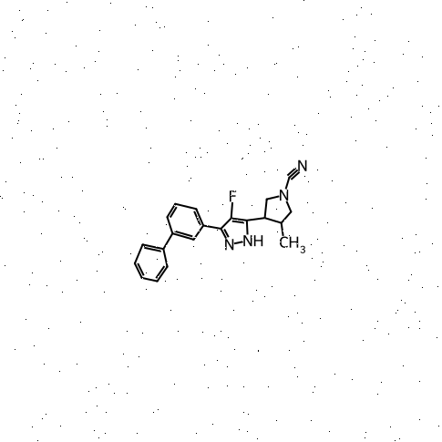 CC1CN(C#N)CC1c1[nH]nc(-c2cccc(-c3ccccc3)c2)c1F